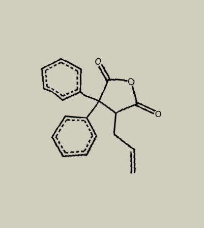 C=CCC1C(=O)OC(=O)C1(c1ccccc1)c1ccccc1